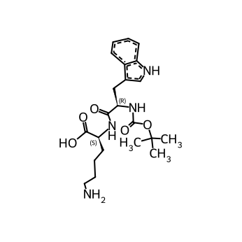 CC(C)(C)OC(=O)N[C@H](Cc1c[nH]c2ccccc12)C(=O)N[C@@H](CCCCN)C(=O)O